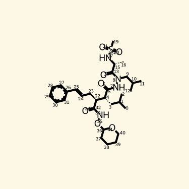 CC(C)C[C@@H](C(=O)NN(CC(C)C)C(=O)[C@@H](C)NS(C)(=O)=O)[C@H](CC=Cc1ccccc1)C(=O)NOC1CCCCO1